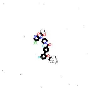 C[C@H](CC(=O)O)Oc1ccc(F)cc1-c1ccc(C(=O)N2CCC(N3C(=O)[C@H](C)Oc4ncc(Cl)cc43)CC2)c(F)c1